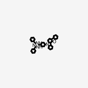 c1ccc(C2=NC(c3ccccc3)NC(c3ccc(-n4c5ccccc5c5c6oc7ccccc7c6ccc54)cc3)N2)cc1